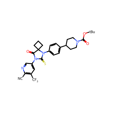 CC(C)(C)OC(=O)N1CCC(c2ccc(N3C(=S)N(c4cnc(C#N)c(C(F)(F)F)c4)C(=O)C34CCC4)cc2)CC1